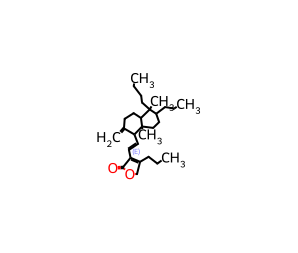 C=C1CCC2C(C)(CCCC)C(CCC)CCC2(C)C1/C=C/C1=C(CCC)COC1=O